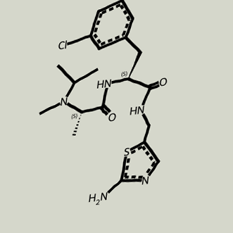 CC(C)N(C)[C@@H](C)C(=O)N[C@@H](Cc1cccc(Cl)c1)C(=O)NCc1cnc(N)s1